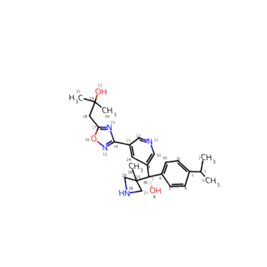 CC(C)c1ccc([C@](O)(c2cncc(-c3noc(CC(C)(C)O)n3)c2)C2(C)CNC2)cc1